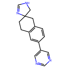 C1=NC2(CCc3cc(-c4cncnc4)ccc3C2)CN1